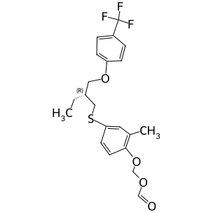 CC[C@H](COc1ccc(C(F)(F)F)cc1)CSc1ccc(OCOC=O)c(C)c1